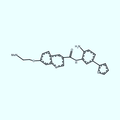 CNCCOc1ccc2cc(C(=O)Nc3cc(-c4cccs4)ccc3N)cnc2c1